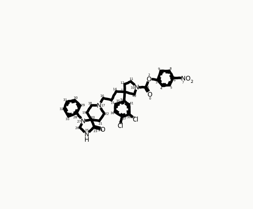 O=C(Oc1ccc([N+](=O)[O-])cc1)N1CCC(CCCN2CCC3(CC2)C(=O)NCN3c2ccccc2)(c2ccc(Cl)c(Cl)c2)C1